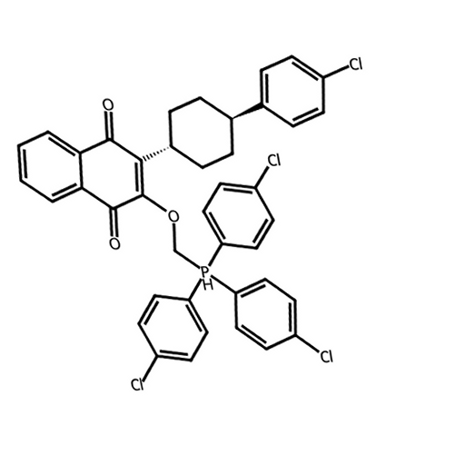 O=C1C(OC[PH](c2ccc(Cl)cc2)(c2ccc(Cl)cc2)c2ccc(Cl)cc2)=C([C@H]2CC[C@H](c3ccc(Cl)cc3)CC2)C(=O)c2ccccc21